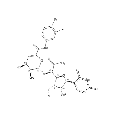 Cc1cc(NC(=O)C2=C[C@H](O)[C@H](O)[C@@H](O[C@@H](C(N)=O)[C@H]3O[C@@H](n4ccc(=O)[nH]c4=O)[C@H](O)[C@@H]3CO)O2)ccc1Br